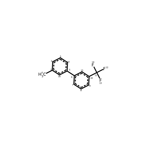 Cc1cc[c]c(-c2cccc(C(F)(F)F)c2)c1